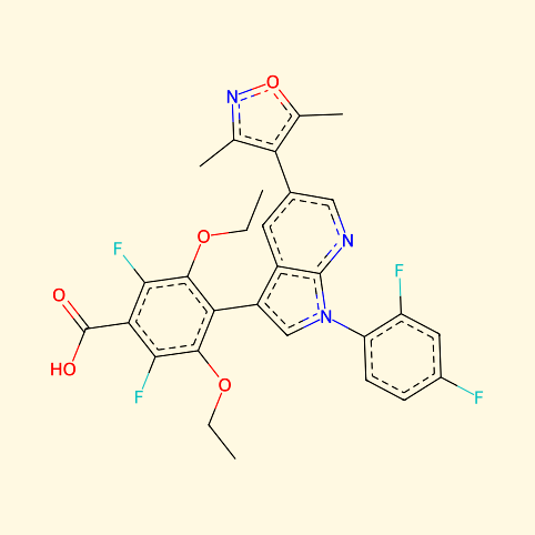 CCOc1c(F)c(C(=O)O)c(F)c(OCC)c1-c1cn(-c2ccc(F)cc2F)c2ncc(-c3c(C)noc3C)cc12